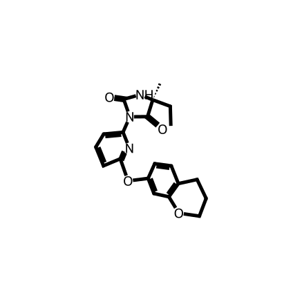 CC[C@]1(C)NC(=O)N(c2cccc(Oc3ccc4c(c3)OCCC4)n2)C1=O